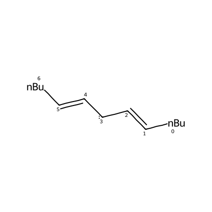 CCCCC=C[C]C=CCCCC